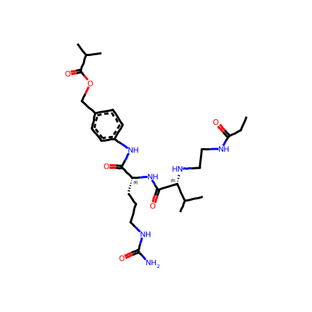 CCC(=O)NCCN[C@@H](C(=O)N[C@H](CCCNC(N)=O)C(=O)Nc1ccc(COC(=O)C(C)C)cc1)C(C)C